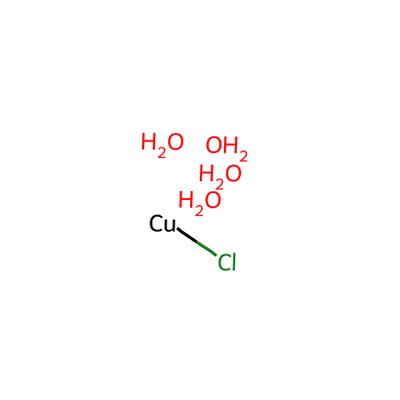 O.O.O.O.[Cl][Cu]